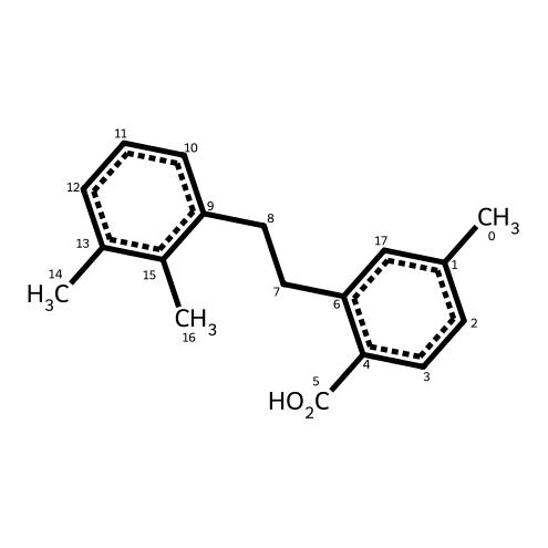 Cc1ccc(C(=O)O)c(CCc2cccc(C)c2C)c1